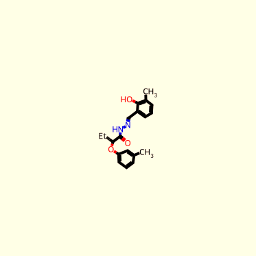 CCC(Oc1cccc(C)c1)C(=O)NN=Cc1cccc(C)c1O